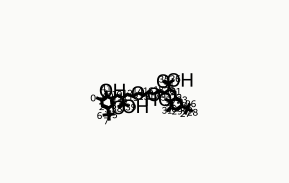 Cc1cc(C(C)(C)C)cc(CC(CCOCCOCCC(Cc2cc(C(C)(C)C)cc(C)c2O)C(=O)O)C(=O)O)c1O